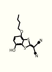 CCCCOc1ccc(O)c2c1SC(=C(C#N)C#N)S2